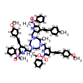 CCOP(=O)(c1ccccc1)c1cc(C#Cc2ccc(OC)cc2)cc(CN2CCN(Cc3cc(C#Cc4ccc(OC)cc4)cc(P(C)(=O)c4ccccc4)n3)CCN(Cc3cc(C#Cc4ccc(C)cc4)cc(P(C)(=O)c4ccccc4)n3)C[C@@H]2C)n1